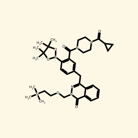 CC1(C)OB(c2ccc(Cc3nn(COCC[Si](C)(C)C)c(=O)c4ccccc34)cc2C(=O)N2CCN(C(=O)C3CC3)CC2)OC1(C)C